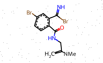 C=C(CNC(=O)c1ccc(Br)cc1C(=N)Br)NC